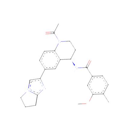 COc1cc(C(=O)N[C@@H]2CCN(C(C)=O)c3ccc(-c4cn5c(n4)CCC5)cc32)ccc1C